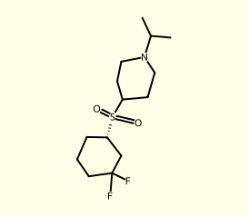 CC(C)N1CCC(S(=O)(=O)[C@H]2CCCC(F)(F)C2)CC1